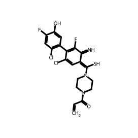 C=CC(=O)N1CCN(/C(S)=C2\C=C(Cl)C(c3cc(O)c(F)cc3Cl)=C(F)C2=N)CC1